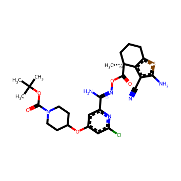 CC(C)(C)OC(=O)N1CCC(Oc2cc(Cl)nc(/C(N)=N/OC(=O)[C@@]3(C)CCCc4sc(N)c(C#N)c43)c2)CC1